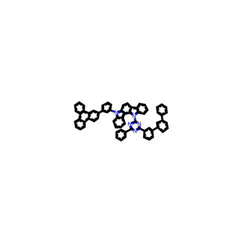 c1ccc(-c2cccc(-c3cccc(-c4nc(-c5ccccc5)nc(-n5c6ccccc6c6ccc7c(c8ccccc8n7-c7cccc(-c8ccc9c%10ccccc%10c%10ccccc%10c9c8)c7)c65)n4)c3)c2)cc1